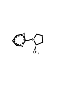 C[C@@H]1CCCN1c1ncccn1